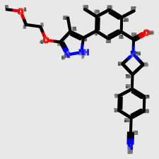 COCCOc1n[nH]c(-c2cc(C(=O)N3CC(c4ccc(C#N)cc4)C3)c(C)cc2C)c1C